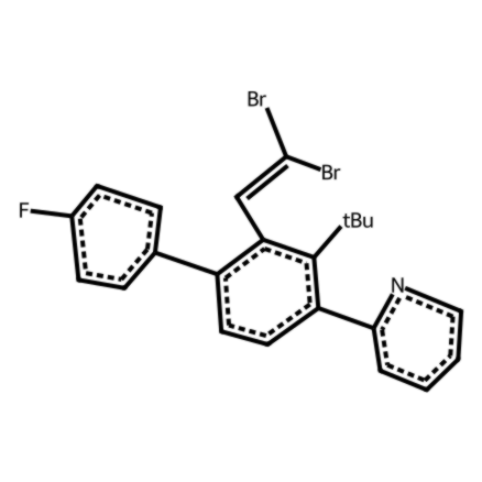 CC(C)(C)c1c(-c2ccccn2)ccc(-c2ccc(F)cc2)c1C=C(Br)Br